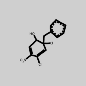 O=[N+]([O-])C1=CC(O)C(Cl)(Cc2ccccc2)C=C1Cl